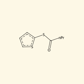 CCCC(=O)Sc1cccs1